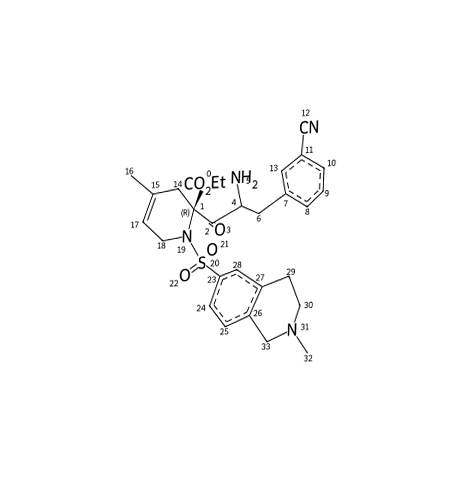 CCOC(=O)[C@]1(C(=O)C(N)Cc2cccc(C#N)c2)CC(C)=CCN1S(=O)(=O)c1ccc2c(c1)CCN(C)C2